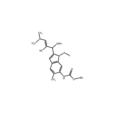 COC(/C(C#N)=C/N(C)C)c1cc2cc(C)c(NC(=O)OC(C)(C)C)cc2n1SI